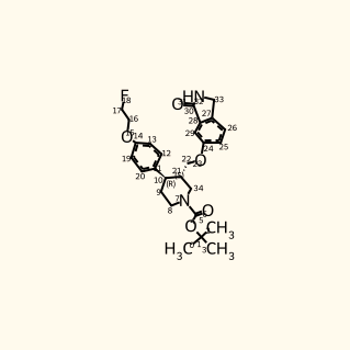 CC(C)(C)OC(=O)N1CC[C@@H](c2ccc(OCCF)cc2)[C@H](COc2ccc3c(c2)C(=O)NC3)C1